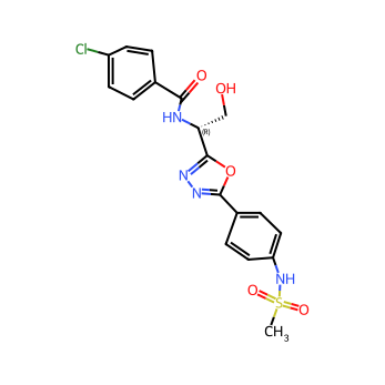 CS(=O)(=O)Nc1ccc(-c2nnc([C@@H](CO)NC(=O)c3ccc(Cl)cc3)o2)cc1